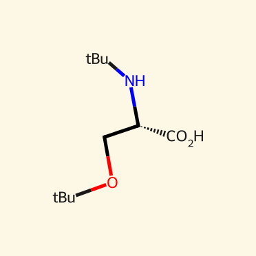 CC(C)(C)N[C@@H](COC(C)(C)C)C(=O)O